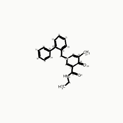 CCNC(=O)c1cn(Cc2ccccc2-c2ccccc2)cc(C)c1=O